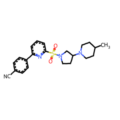 CC1CCN(C2CCN(S(=O)(=O)c3cccc(-c4ccc(C#N)cc4)n3)C2)CC1